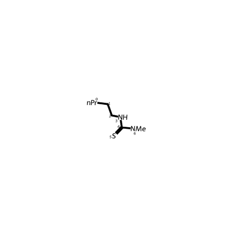 CCCCCNC(=S)NC